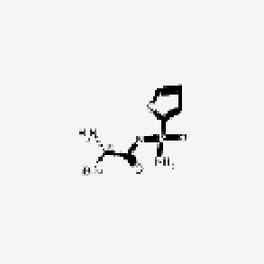 CC[C@H](C)[C@H](N)C(=O)N=S(N)(=O)c1cccs1